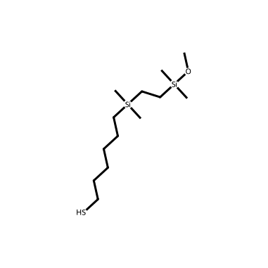 CO[Si](C)(C)CC[Si](C)(C)CCCCCCS